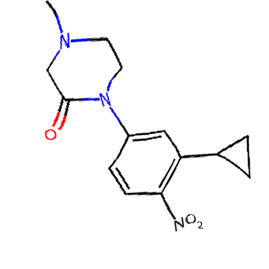 CN1CCN(c2ccc([N+](=O)[O-])c(C3CC3)c2)C(=O)C1